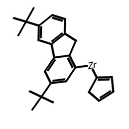 CC(C)(C)c1ccc2c(c1)-c1cc(C(C)(C)C)c[c]([Zr][C]3=CC=CC3)c1C2